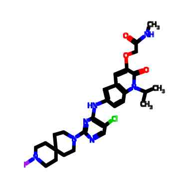 CNC(=O)COc1cc2cc(Nc3nc(N4CCC5(CCN(I)CC5)CC4)ncc3Cl)ccc2n(C(C)C)c1=O